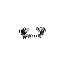 COC(=O)N[C@H](C(=O)N1[C@H]2C[C@@]2(C)C[C@H]1c1ncc(-c2ccc(-c3ccc4cc(-c5cnc([C@@H]6C[C@]7(C)C[C@@H]7N6C(=O)[C@@H](NC(=O)OC)C6CCOCC6)[nH]5)ccc4c3)cc2)[nH]1)C1CCOCC1